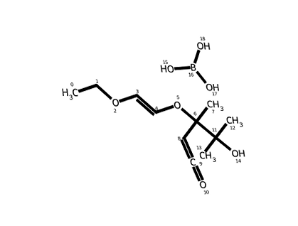 CCOC=COC(C)(C=C=O)C(C)(C)O.OB(O)O